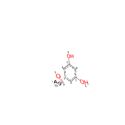 C=O.Oc1cccc(O)c1.[Ag]